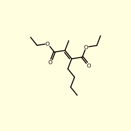 CCCCC(C(=O)OCC)=C(C)C(=O)OCC